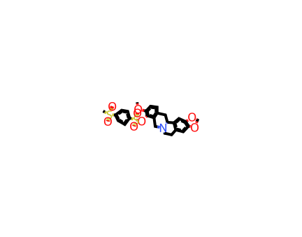 COc1ccc2c(c1OS(=O)(=O)c1ccc(S(C)(=O)=O)cc1)CN1CCc3cc4c(cc3C1C2)OCO4